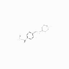 O=C(c1ccc(CNC2CCNCC2)cc1)N(F)F